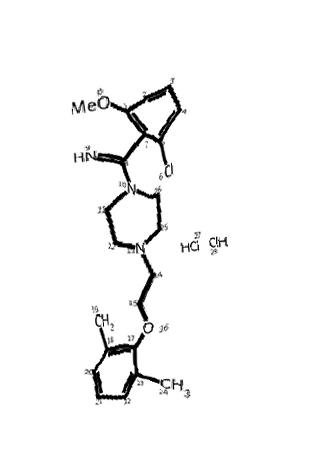 COc1cccc(Cl)c1C(=N)N1CCN(CCOc2c(C)cccc2C)CC1.Cl.Cl